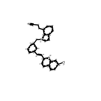 N#CCCc1cccc2ccn(Cc3cccc(/C=C/c4ccc5ccc(Cl)cc5n4)c3)c12